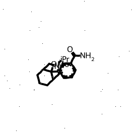 COC1(c2cccc(C(N)=O)c2)C2CCCC1CN(C(C)C)C2